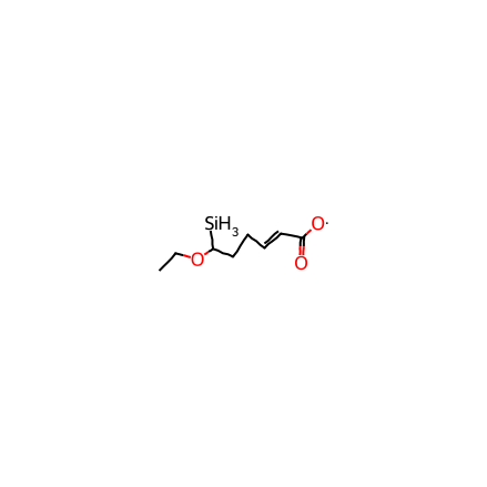 CCOC([SiH3])CCC=CC([O])=O